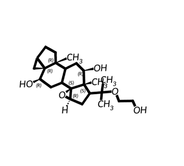 CC(C)(OCCO)C1C[C@H]2O[C@]23C2C[C@@H](O)[C@]45CC4CC[C@]5(C)C2C[C@@H](O)[C@]13C